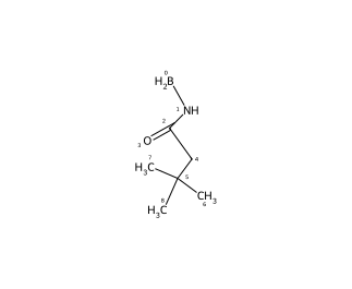 BNC(=O)CC(C)(C)C